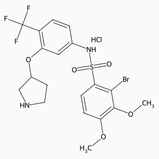 COc1ccc(S(=O)(=O)Nc2ccc(C(F)(F)F)c(OC3CCNC3)c2)c(Br)c1OC.Cl